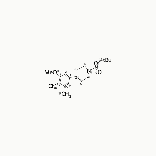 COc1cc(C2=CCN(C(=O)OC(C)(C)C)CC2)cc(C)c1Cl